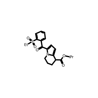 CCS(=O)(=O)c1ccccc1C(=O)c1ccc2n1CCCC2C(=O)OC(C)C